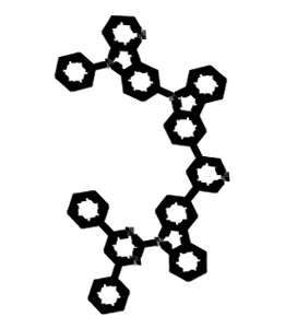 c1ccc(-c2cc(-c3ccccc3)nc(-n3c4ccccc4c4cc(-c5cncc(-c6ccc7c(c6)c6ccccc6n7-c6ccc7c(c6)c6ncccc6n7-c6ccccc6)c5)ccc43)n2)cc1